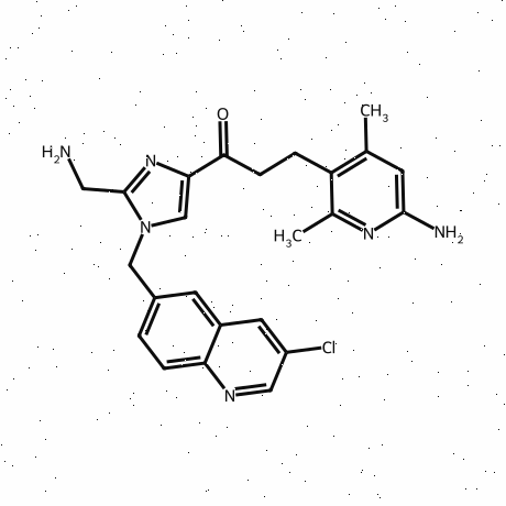 Cc1cc(N)nc(C)c1CCC(=O)c1cn(Cc2ccc3ncc(Cl)cc3c2)c(CN)n1